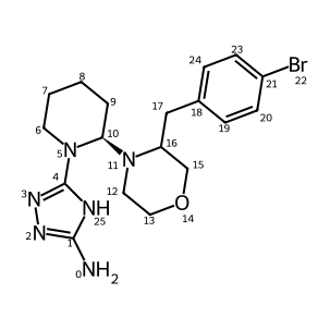 Nc1nnc(N2CCCC[C@H]2N2CCOCC2Cc2ccc(Br)cc2)[nH]1